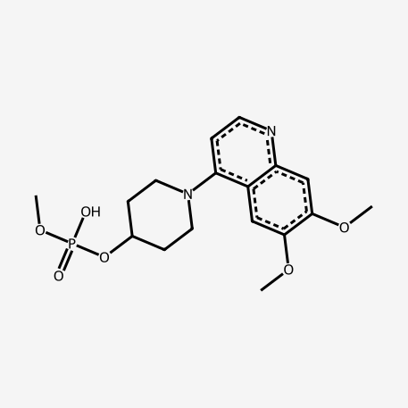 COc1cc2nccc(N3CCC(OP(=O)(O)OC)CC3)c2cc1OC